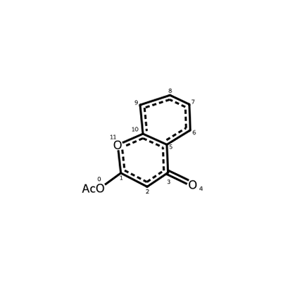 CC(=O)Oc1cc(=O)c2ccccc2o1